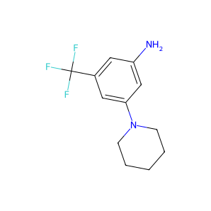 Nc1cc(N2CCCCC2)cc(C(F)(F)F)c1